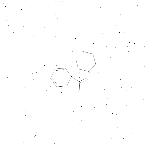 NC(=S)C1(N2CCCCC2)C=CC=CC1